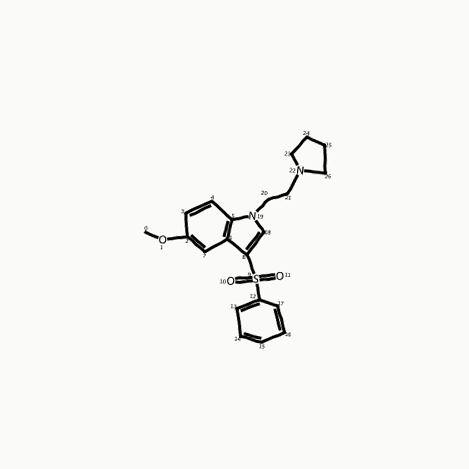 COc1ccc2c(c1)c(S(=O)(=O)c1ccccc1)cn2CCN1CCCC1